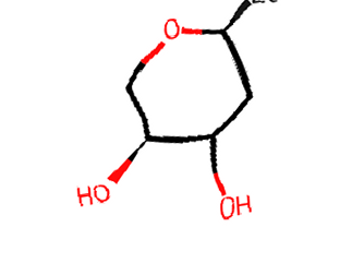 CC[C@H]1CC(O)[C@@H](O)CO1